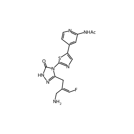 CC(=O)Nc1cc(-c2cnc(-n3c(C/C(=C\F)CN)n[nH]c3=O)s2)ccn1